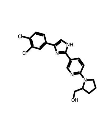 OCC1CCCN1c1ccc(-c2nc(-c3ccc(Cl)c(Cl)c3)c[nH]2)cn1